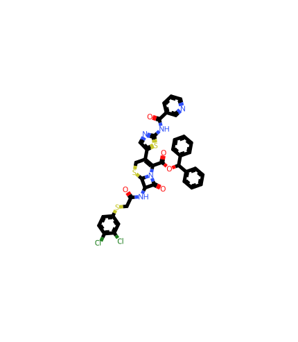 O=C(CSc1ccc(Cl)c(Cl)c1)NC1C(=O)N2C(C(=O)OC(c3ccccc3)c3ccccc3)=C(c3cnc(NC(=O)c4cccnc4)s3)CSC12